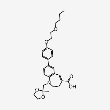 CCCCOCCOc1ccc(-c2ccc3c(c2)C=C(C(=O)O)CCN3CC2(C)OCCO2)cc1